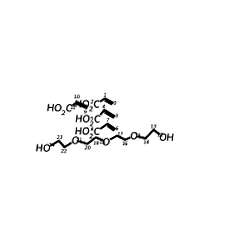 C=CC(=O)O.C=CC(=O)O.C=CC(=O)O.C=CC(=O)O.OCCOCCOCCOCCO